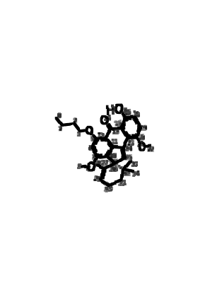 CCCCOc1cc(OC)c2c3c1C(=O)c1c(O)ccc(OC)c1C3=C[C@@]21C(C)=CCCC1(C)C